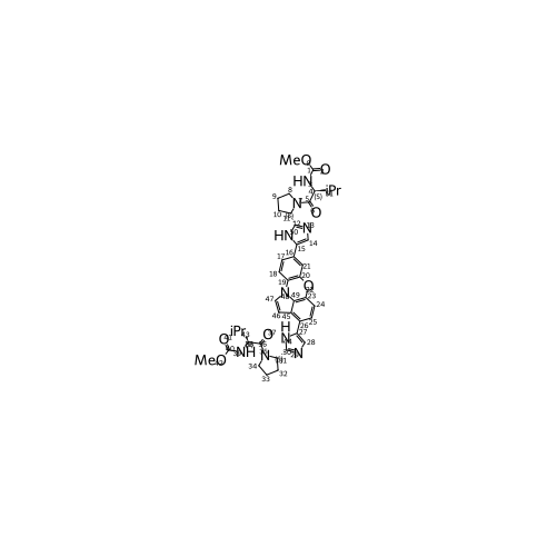 COC(=O)N[C@H](C(=O)N1CCC[C@H]1c1ncc(-c2ccc3c(c2)Oc2ccc(-c4cnc([C@@H]5CCCN5C(=O)[C@@H](NC(=O)OC)C(C)C)[nH]4)c4ccn-3c24)[nH]1)C(C)C